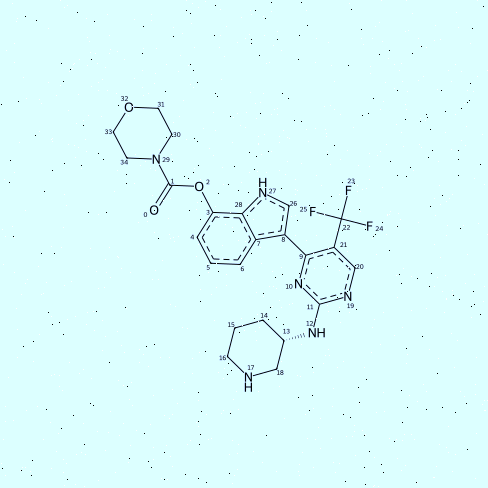 O=C(Oc1cccc2c(-c3nc(N[C@H]4CCCNC4)ncc3C(F)(F)F)c[nH]c12)N1CCOCC1